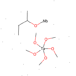 CCC(C)[O][Nb].C[O][Ta]([O]C)([O]C)([O]C)[O]C